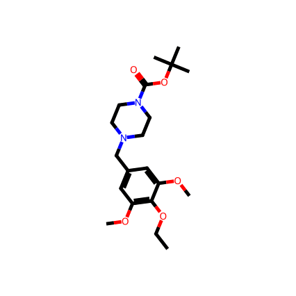 CCOc1c(OC)cc(CN2CCN(C(=O)OC(C)(C)C)CC2)cc1OC